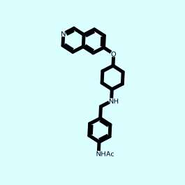 CC(=O)Nc1ccc(CNC2CCC(Oc3ccc4cnccc4c3)CC2)cc1